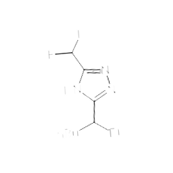 CCCCC(CC)c1nnc(C(F)F)[nH]1